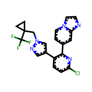 FC(F)(F)C1(Cn2cc(-c3ccc(Cl)nc3-c3ccn4ccnc4c3)cn2)CC1